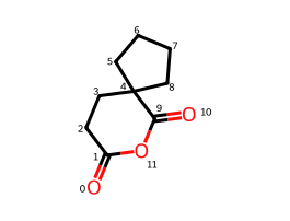 O=C1CCC2(CCCC2)C(=O)O1